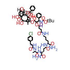 CC(=O)O[C@@]12CO[C@@H]1C[C@H](O)[C@@]1(C)C(=O)[C@H](O)C3=C(C)[C@@H](OC(=O)[C@H](OC(=O)CCC(=O)NCCCCC(NC(=O)CC[C@H](NC(=O)C(C)NC(=O)/C=C/c4ccc(Cl)cc4)C(N)=O)C(N)=O)[C@@H](NC(=O)OC(C)(C)C)c4ccccc4)C[C@@](O)([C@@H](OC(=O)c4ccccc4)[C@H]21)C3(C)C